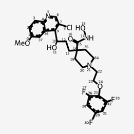 COc1ccc2ncc(Cl)c([C@H](O)CCC3(C(=O)NO)CCN(CCOc4c(F)cc(F)cc4F)CC3)c2c1